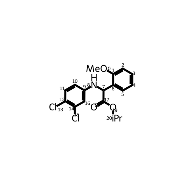 COc1ccccc1C(Nc1ccc(Cl)c(Cl)c1)C(=O)OC(C)C